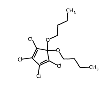 CCCCOC1(OCCCC)C(Cl)=C(Cl)C(Cl)=C1Cl